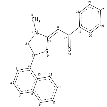 CN1CC(c2cccc3ccccc23)SC1=CC(=O)c1ccccc1